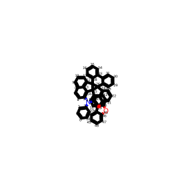 c1ccc(N(c2ccc3cccc4c3c2C23c5cccc6cccc(c56)C25c2ccccc2-c2ccccc2C453)c2cccc3oc4ccccc4c23)cc1